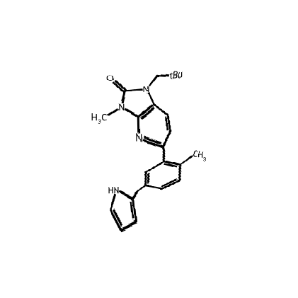 Cc1ccc(-c2ccc[nH]2)cc1-c1ccc2c(n1)n(C)c(=O)n2CC(C)(C)C